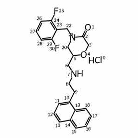 Cl.O=C1COC(CNCCc2cccc3ccccc23)CN1Cc1c(F)cccc1F